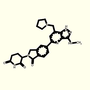 CNc1n[nH]c2c(CN3CCCC3)cc(-c3ccc4c(c3)CN(C3CCC(=O)NC3=O)C4=O)nc12